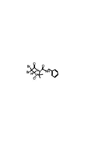 CC1(C)[C@H](C(=O)NCc2ccccc2)N2C(=O)C(Br)(Br)[C@H]2[S+]1[O-]